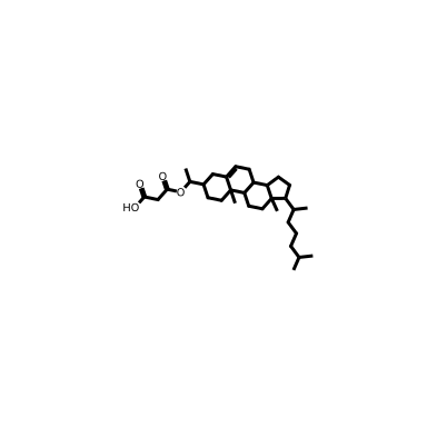 CC(C)CCCC(C)C1CCC2C3CC=C4CC(C(C)OC(=O)CC(=O)O)CCC4(C)C3CCC12C